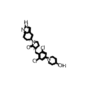 O=C1[C@H](Cc2c(Cl)cc(N3CCC(O)CC3)cc2Cl)CCN1[C@H]1CCc2n[nH]cc2C1